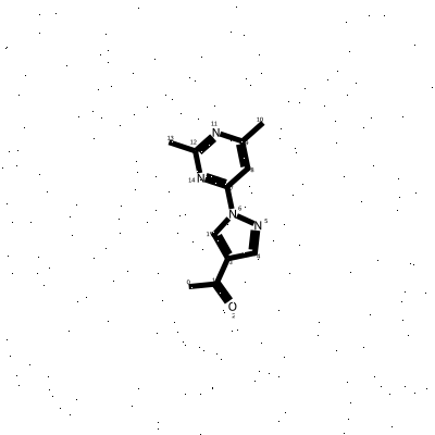 CC(=O)c1cnn(-c2cc(C)nc(C)n2)c1